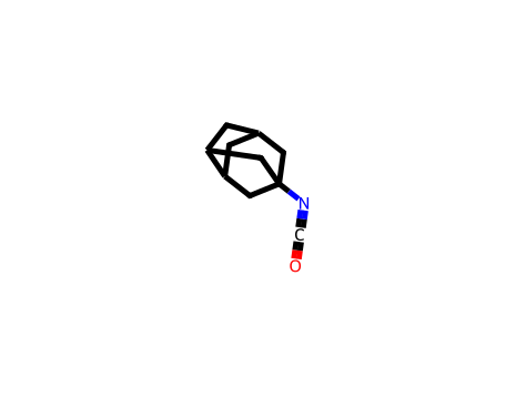 O=C=NC12CC3CC(C1)C(C3)C2